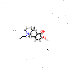 CCCN1CCC[C@@H]2Cc3c(ccc(OC)c3O)C[C@H]21